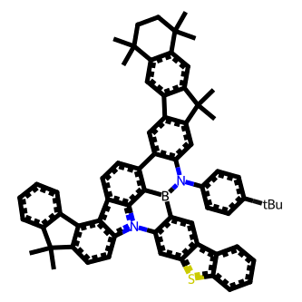 CC(C)(C)c1ccc(N2B3c4cc5c(cc4-n4c6ccc7c(c6c6ccc(c3c64)-c3cc4c(cc32)C(C)(C)c2cc3c(cc2-4)C(C)(C)CCC3(C)C)-c2ccccc2C7(C)C)sc2ccccc25)cc1